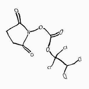 O=C(ON1C(=O)CCC1=O)OC(Cl)(Cl)C(Cl)Cl